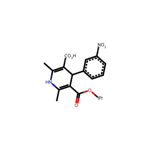 CC1=C(C(=O)O)C(c2cccc([N+](=O)[O-])c2)C(C(=O)OC(C)C)=C(C)N1